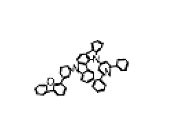 c1ccc(-c2cc(-n3c4ccccc4c4ccc5c(c6ccccc6n5-c5cccc(-c6cccc7c6oc6ccccc67)c5)c43)cc(-c3ccccc3)n2)cc1